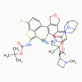 CN1CC[C@H]1COc1cc(N2C3CCC2CN(C(=O)OC(C)(C)C)C3)c2c3c(c(-c4ccc(F)c5sc(NC(=O)OC(C)(C)C)c(C#N)c45)c(Cl)c2n1)COC3